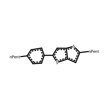 CCCCCc1ccc(-c2cc3sc(CCCCC)cc3s2)cc1